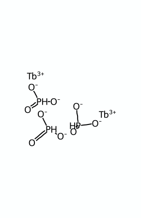 O=[PH]([O-])[O-].O=[PH]([O-])[O-].O=[PH]([O-])[O-].[Tb+3].[Tb+3]